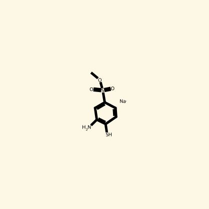 COS(=O)(=O)c1ccc(S)c(N)c1.[Na]